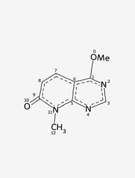 COc1ncnc2c1ccc(=O)n2C